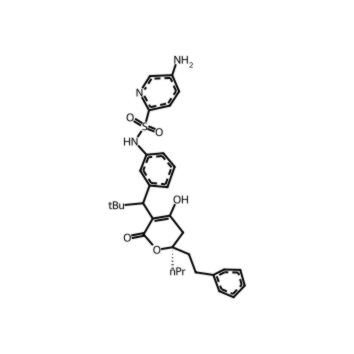 CCC[C@@]1(CCc2ccccc2)CC(O)=C(C(c2cccc(NS(=O)(=O)c3ccc(N)cn3)c2)C(C)(C)C)C(=O)O1